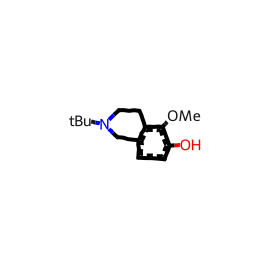 COc1c(O)ccc2c1CCN(C(C)(C)C)C2